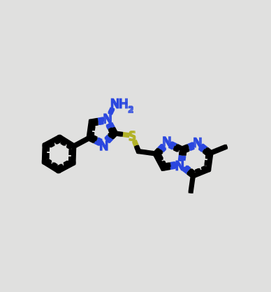 Cc1cc(C)n2cc(CSc3nc(-c4ccccc4)cn3N)nc2n1